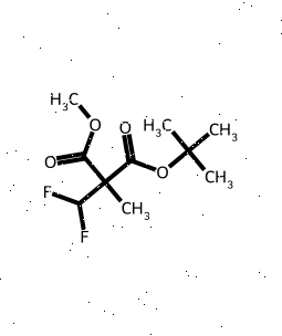 COC(=O)C(C)(C(=O)OC(C)(C)C)C(F)F